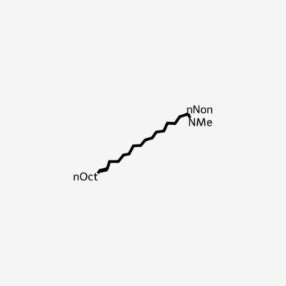 CCCCCCCCC=CCCCCCCCCCCCCCC(CCCCCCCCC)NC